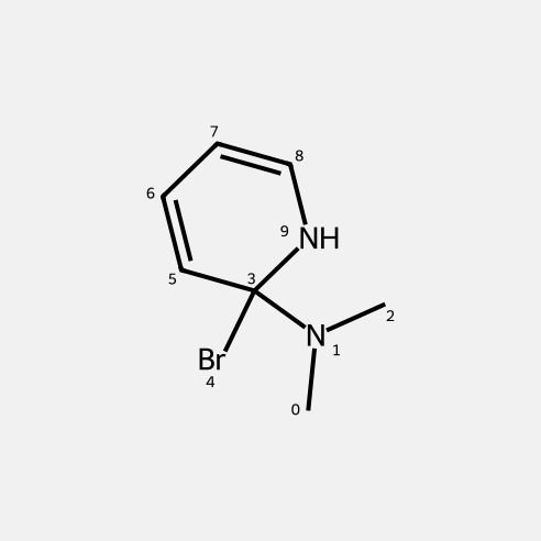 CN(C)C1(Br)C=CC=CN1